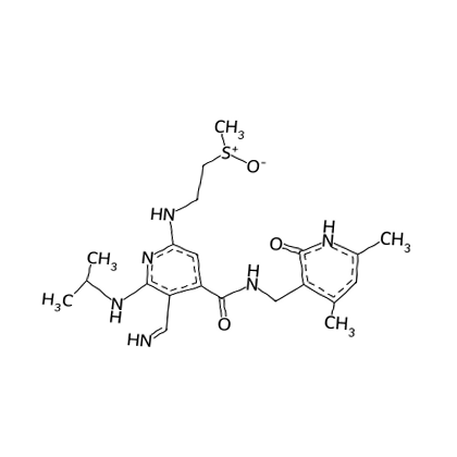 Cc1cc(C)c(CNC(=O)c2cc(NCC[S+](C)[O-])nc(NC(C)C)c2C=N)c(=O)[nH]1